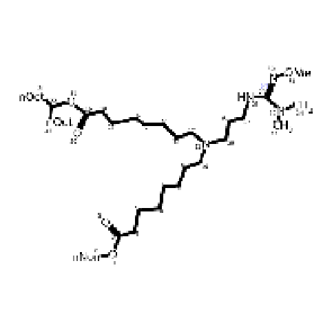 CCCCCCCCCOC(=O)CCCCCCCN(CCCCCCCC(=O)OC(CCCCCCCC)CCCCCCCC)CCCN/C(=N/OC)N(C)C